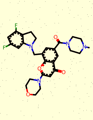 CN1CCN(C(=O)c2cc(CN3CCc4c(F)cc(F)cc43)c3oc(N4CCOCC4)cc(=O)c3c2)CC1